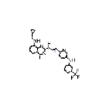 Cc1nc(N/C=C/c2ccc(Nc3cccc(C(F)(F)F)c3)cn2)nc2c(NCC3CC3)cccc12